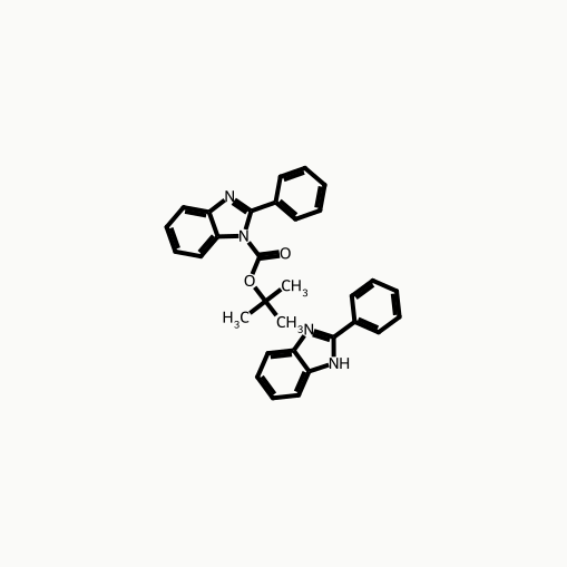 CC(C)(C)OC(=O)n1c(-c2ccccc2)nc2ccccc21.c1ccc(-c2nc3ccccc3[nH]2)cc1